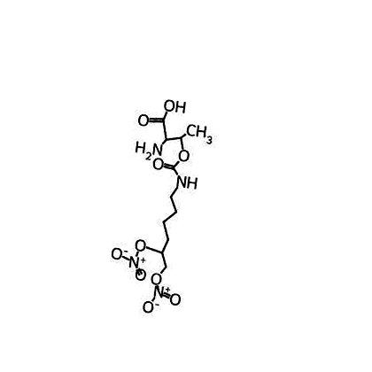 CC(OC(=O)NCCCCC(CO[N+](=O)[O-])O[N+](=O)[O-])C(N)C(=O)O